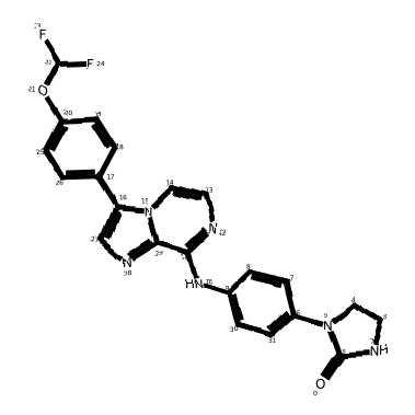 O=C1NCCN1c1ccc(Nc2nccn3c(-c4ccc(OC(F)F)cc4)cnc23)cc1